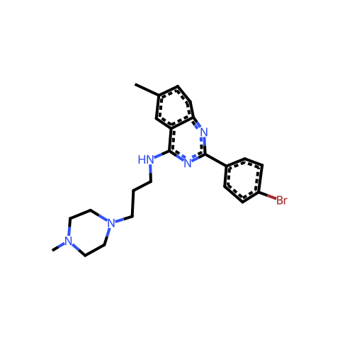 Cc1ccc2nc(-c3ccc(Br)cc3)nc(NCCCN3CCN(C)CC3)c2c1